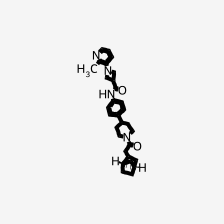 Cc1ncccc1N1CC(C(=O)Nc2ccc(C3CCN(C(=O)CC4C[C@H]5CC[C@H]4C5)CC3)cc2)C1